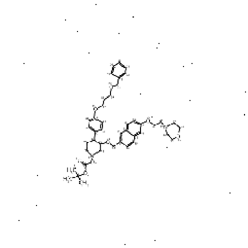 CC(C)(C)OC(=O)ON1CCC(c2ccc(OCCCOCc3ccccc3)cc2)C(OCc2ccc3cc(OCCN4CCOCC4)ccc3c2)C1